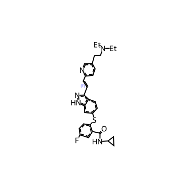 CCN(CC)CCc1ccc(/C=C/c2n[nH]c3cc(Sc4ccc(F)cc4C(=O)NC4CC4)ccc23)nc1